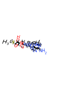 CSC[C@H]1OC[C@@H](OC(=O)NC[C@H](N(C)C)n2cnc3c(N)ncnc32)[C@@H]1O